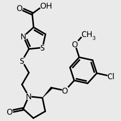 COc1cc(Cl)cc(OC[C@H]2CCC(=O)N2CCSc2nc(C(=O)O)cs2)c1